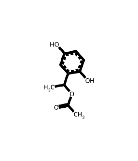 CC(=O)OC(C)c1cc(O)ccc1O